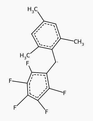 Cc1cc(C)c([CH]c2c(F)c(F)c(F)c(F)c2F)c(C)c1